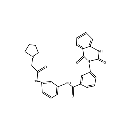 O=C(CN1CCCC1)Nc1cccc(NC(=O)c2cccc(-n3c(=O)[nH]c4ccccc4c3=O)c2)c1